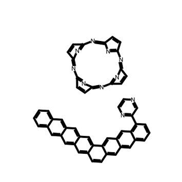 C1=C/C2=N/C3=NC(=N\C4=NC(=N\C5=NC(=N\C1=N2)/C=C5)/C=C4)/C=C3.c1ccc2cc3cc4cc5c(ccc6cc7cc8cccc(-c9cnccn9)c8cc7cc65)cc4cc3cc2c1